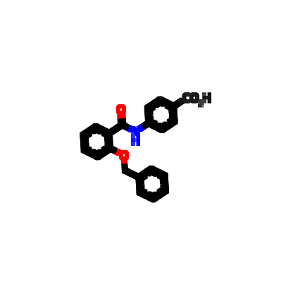 O=C(O)c1ccc(NC(=O)c2ccccc2OCc2ccccc2)cc1